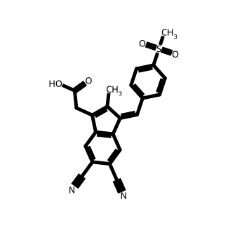 CC1=C(CC(=O)O)c2cc(C#N)c(C#N)cc2C1=Cc1ccc(S(C)(=O)=O)cc1